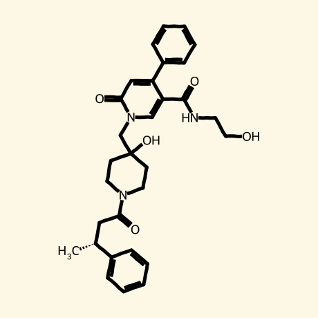 C[C@H](CC(=O)N1CCC(O)(Cn2cc(C(=O)NCCO)c(-c3ccccc3)cc2=O)CC1)c1ccccc1